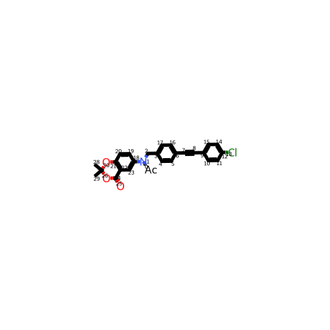 CC(=O)N(Cc1ccc(C#Cc2ccc(Cl)cc2)cc1)c1ccc2c(c1)C(=O)OC(C)(C)O2